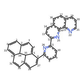 C1=CC2=CC=C3C(c4cccc(-c5ccc6ccc7cccnc7c6n5)n4)=CC=C4C=CC(=C1)C2C43